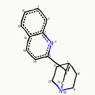 c1ccc2nc(C3=C4CCN(CC4)C3)ccc2c1